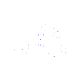 CN1C(=O)[C@H](C[C@@H](O)CNC(=O)OC(C)(C)C)NC(=O)[C@@H](NC(=O)OC(C)(C)C)Cc2cc(ccc2O)-c2ccc(O)c(c2)C[C@H]1C(=O)O